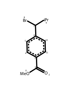 COC(=O)c1ccc(C(Br)C(C)C)cc1